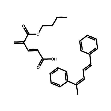 C=C(C=CC(=O)O)C(=O)OCCCC.CC(=CC=Cc1ccccc1)c1ccccc1